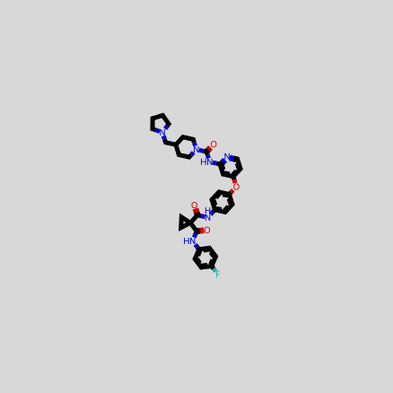 O=C(Nc1cc(Oc2ccc(NC(=O)C3(C(=O)Nc4ccc(F)cc4)CC3)cc2)ccn1)N1CCC(CN2CCCC2)CC1